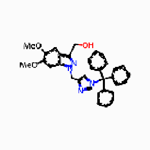 COc1cc2c(CO)nn(Cc3cn(C(c4ccccc4)(c4ccccc4)c4ccccc4)cn3)c2cc1OC